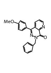 COc1ccc(-c2nn(Cc3ccccc3)c(=O)c3ncccc23)cc1